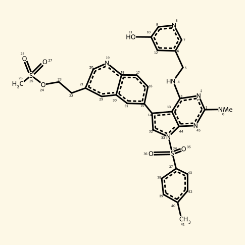 CNc1nc(NCc2cncc(O)c2)c2c(-c3ccc4ncc(CCOS(C)(=O)=O)cc4c3)cn(S(=O)(=O)c3ccc(C)cc3)c2n1